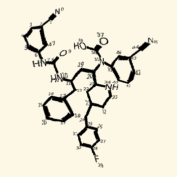 N#Cc1cccc(NC(=O)NC(Cc2ccccc2)CC(C2CC(Cc3ccc(F)cc3)CCN2)N(C(=O)O)c2cccc(C#N)c2)c1